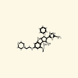 COc1cc(OCCN2CCOCC2)cc2c1[C@]1(O)C(O)C(c3nnc(N)o3)[C@@H](c3ccccc3)C1O2